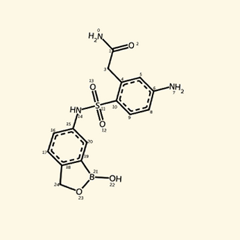 NC(=O)Cc1cc(N)ccc1S(=O)(=O)Nc1ccc2c(c1)B(O)OC2